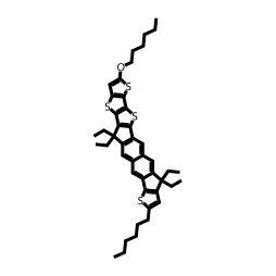 CCCCCCOc1cc2sc3c4c(sc3c2s1)-c1cc2cc3c(cc2cc1C4(CC)CC)-c1sc(CCCCCC)cc1C3(CC)CC